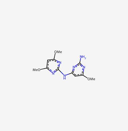 COc1cc(Nc2nc(OC)cc(OC)n2)nc(N)n1